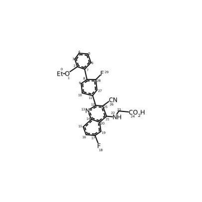 CCOc1ccccc1-c1ccc(-c2nc3ccc(F)cc3c(NCC(=O)O)c2C#N)cc1F